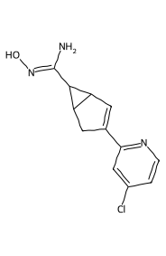 N/C(=N\O)C1C2C=C(c3cc(Cl)ccn3)CC21